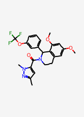 COc1cc2c(c(OC)c1)C(c1cccc(OC(F)(F)F)c1)N(C(=O)c1cc(C)nn1C)CC2